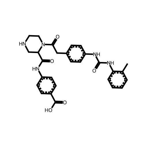 Cc1ccccc1NC(=O)Nc1ccc(CC(=O)N2CCNCC2C(=O)Nc2ccc(C(=O)O)cc2)cc1